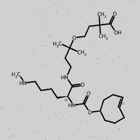 CNCCCC[C@H](NC(=O)OC1CC/C=C/CCC1)C(=O)NCCC(C)(C)OCCC(C)(C)C(=O)O